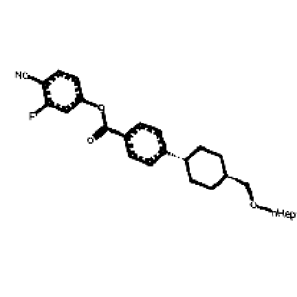 CCCCCCCOC[C@H]1CC[C@H](c2ccc(C(=O)Oc3ccc(C#N)c(F)c3)cc2)CC1